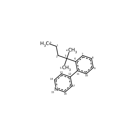 CCCC(C)(C)c1ccccc1-c1ccncc1